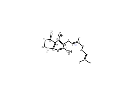 CC(C)=CCC/C(C)=C/Cc1c(O)cc2c(c1O)C(=O)CCO2